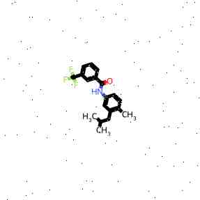 C[C](C)Cc1cc(NC(=O)c2cccc(C(F)(F)F)c2)ccc1C